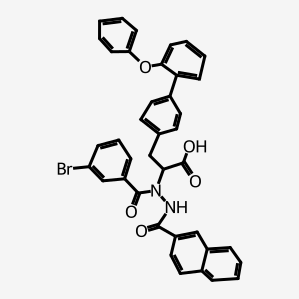 O=C(NN(C(=O)c1cccc(Br)c1)C(Cc1ccc(-c2ccccc2Oc2ccccc2)cc1)C(=O)O)c1ccc2ccccc2c1